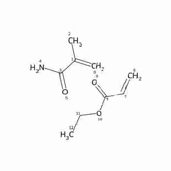 C=C(C)C(N)=O.C=CC(=O)OCC